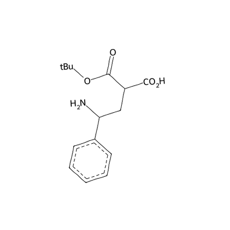 CC(C)(C)OC(=O)C(CC(N)c1ccccc1)C(=O)O